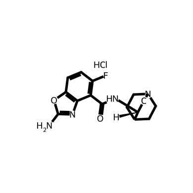 Cl.Nc1nc2c(C(=O)N[C@@H]3CN4CCC3CC4)c(F)ccc2o1